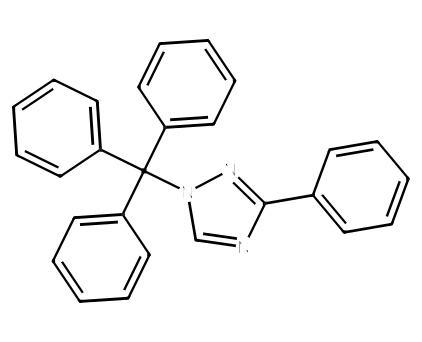 c1ccc(-c2ncn(C(c3ccccc3)(c3ccccc3)c3ccccc3)n2)cc1